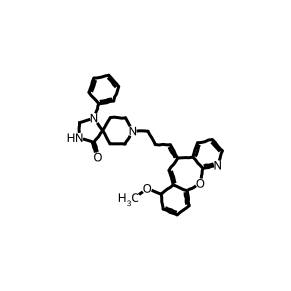 COC1C=CC=C2Oc3ncccc3C(=CCCN3CCC4(CC3)C(=O)NCN4c3ccccc3)C=C21